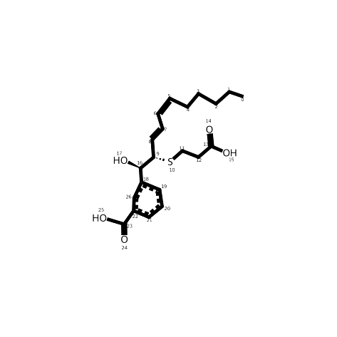 CCCCC/C=C\C=C\[C@H](SCCC(=O)O)[C@H](O)c1cccc(C(=O)O)c1